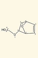 O=C(O)OC1CC2C=CC1O2